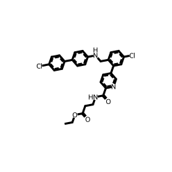 CCOC(=O)CCNC(=O)c1ccc(-c2cc(Cl)ccc2CNc2ccc(-c3ccc(Cl)cc3)cc2)cn1